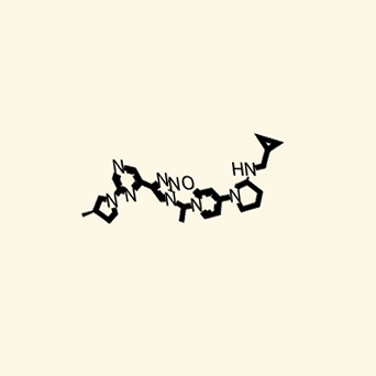 CC(n1cc(-c2cncc(N3CC[C@@H](C)C3)n2)nn1)n1ccc(N2CCC[C@@H](NCC3CC3)C2)cc1=O